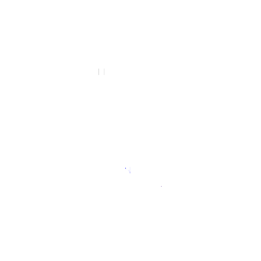 Cc1ccc2cc(I)ncc2c1